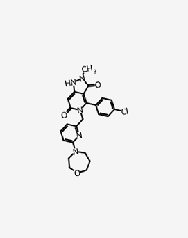 Cn1[nH]c2cc(=O)n(Cc3cccc(N4CCCOCC4)n3)c(-c3ccc(Cl)cc3)c2c1=O